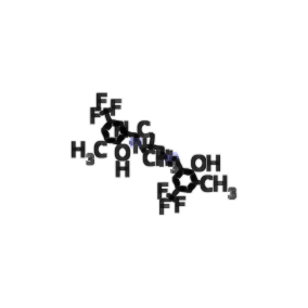 CCC(C)(C/N=C/c1cc(C(F)(F)F)cc(C)c1O)/N=C/c1cc(C(F)(F)F)cc(C)c1O